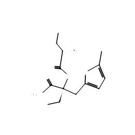 COC(=O)[C@@](CS)(Cc1ccc(C)s1)NC(=O)[C@@H](N)CC(=O)O